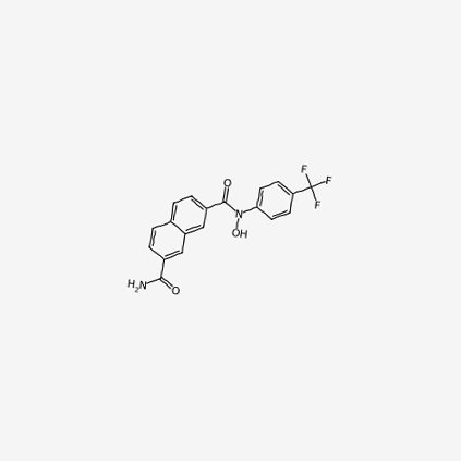 NC(=O)c1ccc2ccc(C(=O)N(O)c3ccc(C(F)(F)F)cc3)cc2c1